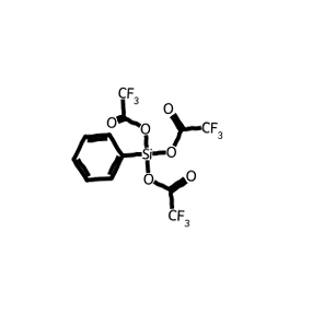 O=C(O[Si](OC(=O)C(F)(F)F)(OC(=O)C(F)(F)F)c1ccccc1)C(F)(F)F